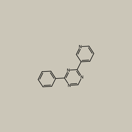 c1ccc(-c2ncnc(-c3cccnc3)n2)cc1